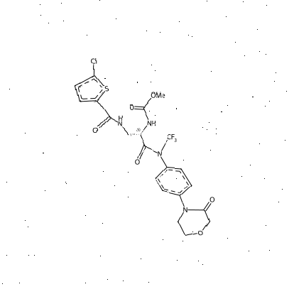 COC(=O)N[C@@H](CNC(=O)c1ccc(Cl)s1)C(=O)N(c1ccc(N2CCOCC2=O)cc1)C(F)(F)F